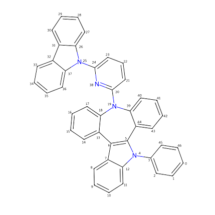 c1ccc(-n2c3c(c4ccccc42)-c2ccccc2N(c2cccc(-n4c5ccccc5c5ccccc54)n2)c2ccccc2-3)cc1